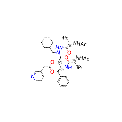 CC(=O)N[C@H](C(=O)N[C@@H](Cc1ccccc1)[C@H](CN(CC1CCCCC1)NC(=O)[C@@H](NC(C)=O)C(C)C)OC(=O)Cc1cccnc1)C(C)C